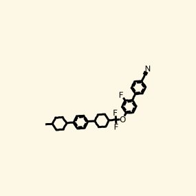 CC1CCC(c2ccc(C3CCC(C(F)(F)Oc4ccc(-c5ccc(C#N)cc5)c(F)c4)CC3)cc2)CC1